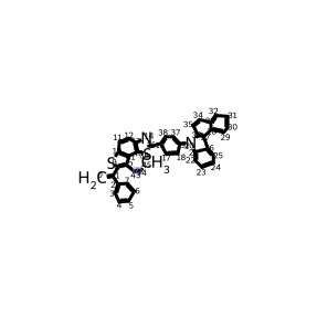 C=C(c1ccccc1)c1sc2ccc3nc(-c4ccc(-n5c6ccccc6c6c7ccccc7ccc65)cc4)sc3c2c1/C=C\C